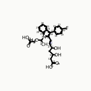 CC(C)n1c(/C=C/C(O)CC(O)CC(=O)O)c(-c2ccc(F)cc2)c2ccccc21.O=C(O)F